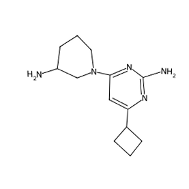 Nc1nc(C2CCC2)cc(N2CCCC(N)C2)n1